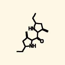 C=C1CC(CC)NC1C(=O)C1NC(CC)CC1=C